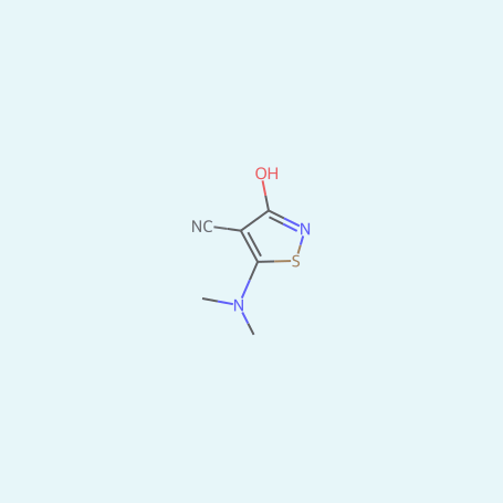 CN(C)c1snc(O)c1C#N